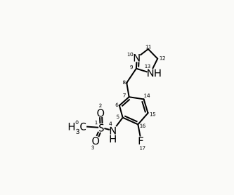 CS(=O)(=O)Nc1cc(CC2=NCCN2)ccc1F